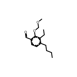 CCCCc1ccc(C=O)c(OCOC)c1CC